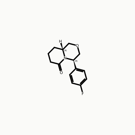 O=C1CCC[C@@H]2COC[C@@H](c3ccc(F)cc3)N12